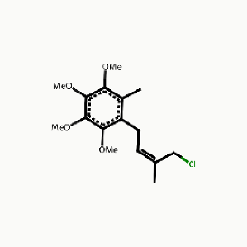 COc1c(C)c(CC=C(C)CCl)c(OC)c(OC)c1OC